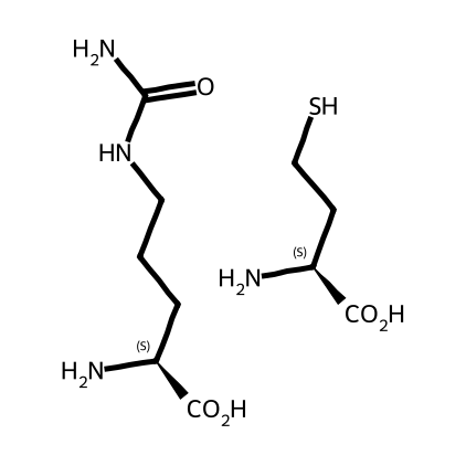 NC(=O)NCCC[C@H](N)C(=O)O.N[C@@H](CCS)C(=O)O